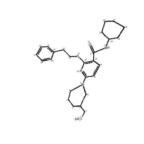 O=C(O)CC1CCCN(c2ccc(C(=O)NC3CCCCC3)c(SCCc3ccccc3)n2)C1